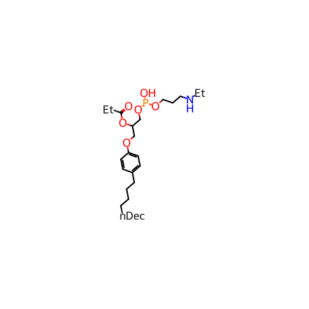 CCCCCCCCCCCCCCc1ccc(OCC(COP(O)OCCCNCC)OC(=O)CC)cc1